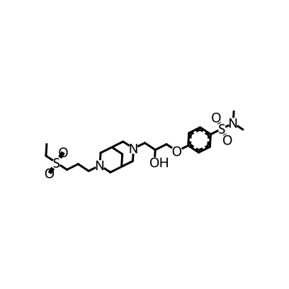 CCS(=O)(=O)CCCN1CC2CC(C1)CN(CC(O)COc1ccc(S(=O)(=O)N(C)C)cc1)C2